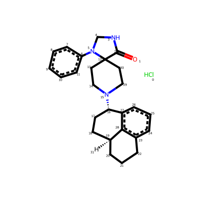 Cl.O=C1NCN(c2ccccc2)C12CCN([C@H]1CC[C@@H]3CCCc4cccc1c43)CC2